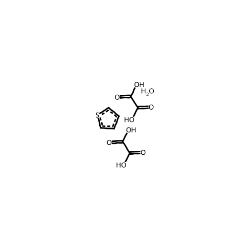 O.O=C(O)C(=O)O.O=C(O)C(=O)O.c1ccsc1